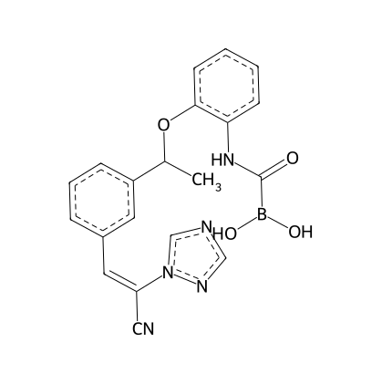 CC(Oc1ccccc1NC(=O)B(O)O)c1cccc(C=C(C#N)n2cncn2)c1